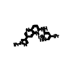 CC(C)C1=CNNC(Nc2ccc3ncc(-c4cnn(C(C)C)c4)cc3n2)=C1